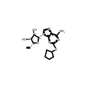 C=C[C@H]1O[C@@H](n2cnc3c(N)nc(OC4CCCC4)nc32)[C@H](O)[C@@H]1O